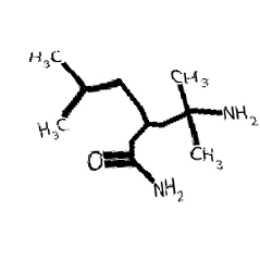 CC(C)CC(C(N)=O)C(C)(C)N